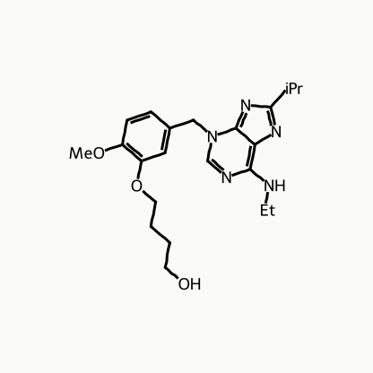 CCNc1ncn(Cc2ccc(OC)c(OCCCCO)c2)c2nc(C(C)C)nc1-2